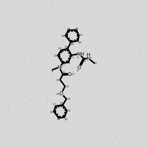 CNC(=O)Nc1cc(N(C)C(=O)CCOCc2ccccc2)ccc1-c1ccccc1